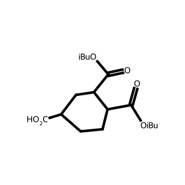 CC(C)COC(=O)C1CCC(C(=O)O)CC1C(=O)OCC(C)C